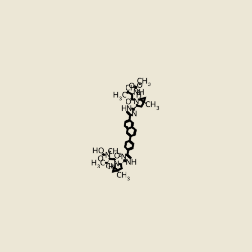 COC(=O)N[C@H](C(=O)N1[C@H]2C[C@]2(C)C[C@H]1c1nc(-c2ccc3cc(-c4ccc(-c5c[nH]c([C@@H]6C[C@]7(C)C[C@@H]7N6C(=O)[C@H](C(C)C)N(C)C(=O)O)n5)cc4)ccc3c2)c[nH]1)C(C)C